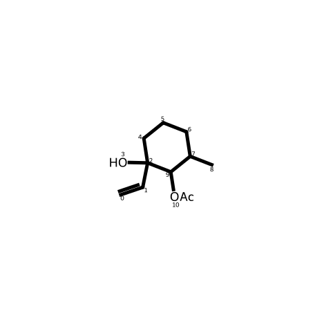 C=CC1(O)CCCC(C)C1OC(C)=O